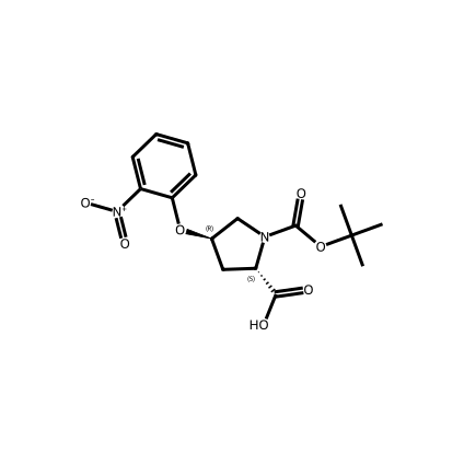 CC(C)(C)OC(=O)N1C[C@H](Oc2ccccc2[N+](=O)[O-])C[C@H]1C(=O)O